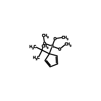 C[O][Ti]([O]C)([O]C)[C]1(C(C)(C)C)C=CC=C1